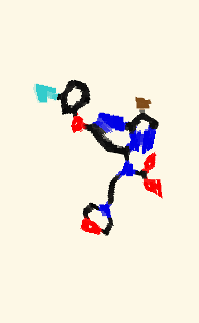 O=C(O)N(CCN1CCOCC1)c1cc(Oc2cccc(F)c2)nc2c(Br)cnn12